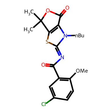 CCCCn1c2c(sc1=NC(=O)c1cc(Cl)ccc1OC)C(C)(C)OC2=O